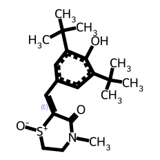 CN1CC[S+]([O-])/C(=C/c2cc(C(C)(C)C)c(O)c(C(C)(C)C)c2)C1=O